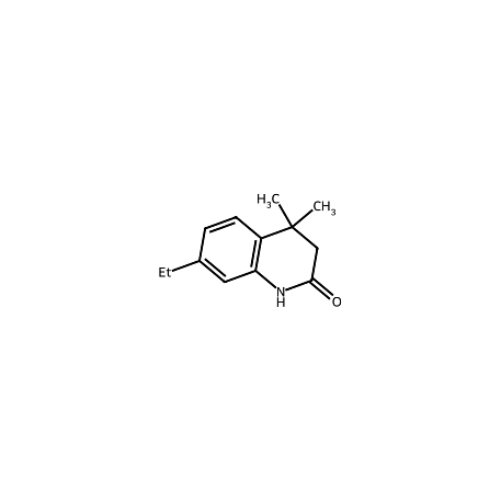 CCc1ccc2c(c1)NC(=O)CC2(C)C